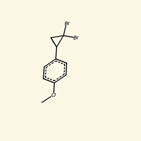 COc1ccc(C2CC2(Br)Br)cc1